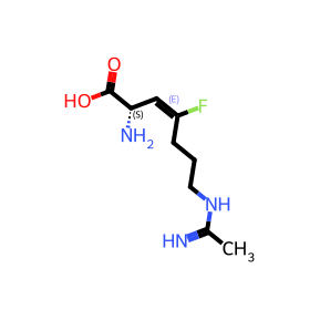 CC(=N)NCCC/C(F)=C\[C@H](N)C(=O)O